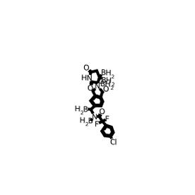 BC(c1ccc2c(c1)CN([C@@]1(B)C(=O)NC(=O)CC1(B)B)C2=O)N(B)C(=O)C(F)(F)c1ccc(Cl)cc1